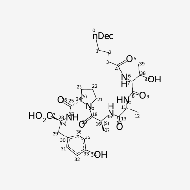 CCCCCCCCCCCCCC(=O)NC(C(=O)NC(C)C(=O)N[C@@H](C)C(=O)N1CCC[C@H]1C(=O)N[C@@H](Cc1ccc(O)cc1)C(=O)O)C(C)O